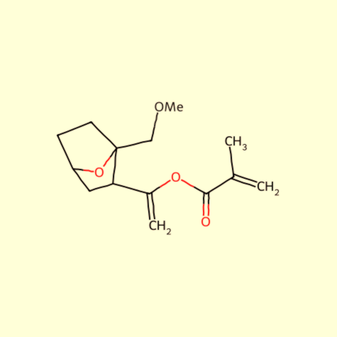 C=C(C)C(=O)OC(=C)C1CC2CCC1(COC)O2